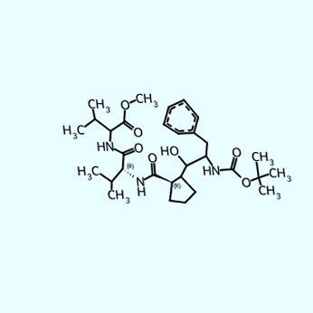 COC(=O)C(NC(=O)[C@H](NC(=O)[C@@H]1CCCC1C(O)C(Cc1ccccc1)NC(=O)OC(C)(C)C)C(C)C)C(C)C